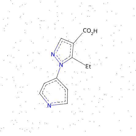 CCc1c(C(=O)O)cnn1-c1ccncc1